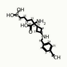 C#Cc1ccc(CNC2CC(C(N)(CCCCB(O)O)C(=O)O)C2)cc1